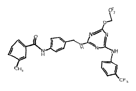 Cc1cccc(C(=O)Nc2ccc(CNc3nc(Nc4cccc(C(F)(F)F)c4)nc(OCC(F)(F)F)n3)cc2)c1